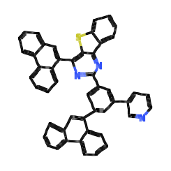 c1cncc(-c2cc(-c3nc(-c4cc5ccccc5c5ccccc45)c4sc5ccccc5c4n3)cc(-c3cc4ccccc4c4ccccc34)c2)c1